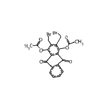 CC(=O)Oc1c(CBr)c(CBr)c(OC(C)=O)c2c1C(=O)c1ccccc1C2=O